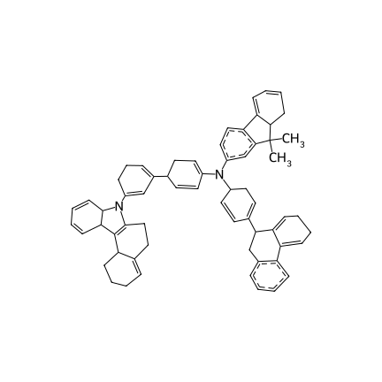 CC1(C)c2cc(N(C3=CCC(C4=CCCC(N5C6=C(C7CCCC=C7CC6)C6C=CC=CC65)=C4)C=C3)C3C=CC(C4Cc5ccccc5C5=CCCC=C54)=CC3)ccc2C2=CC=CCC21